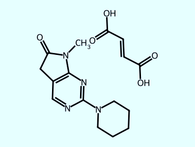 CN1C(=O)Cc2cnc(N3CCCCC3)nc21.O=C(O)/C=C/C(=O)O